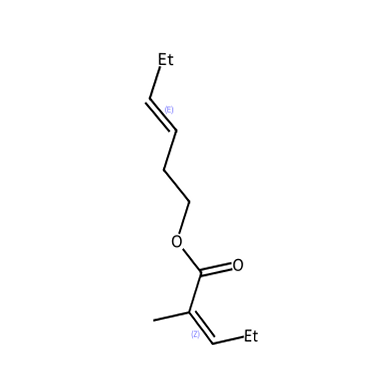 CC/C=C(/C)C(=O)OCC/C=C/CC